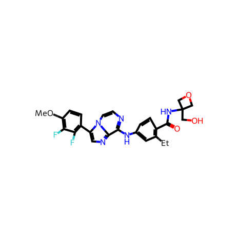 CCc1cc(Nc2nccn3c(-c4ccc(OC)c(F)c4F)cnc23)ccc1C(=O)NC1(CO)COC1